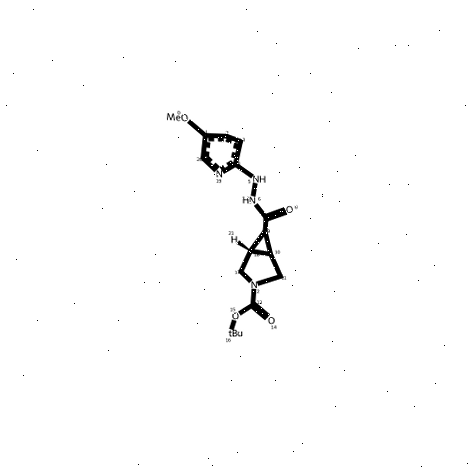 COc1ccc(NNC(=O)C2C3CN(C(=O)OC(C)(C)C)C[C@@H]32)nc1